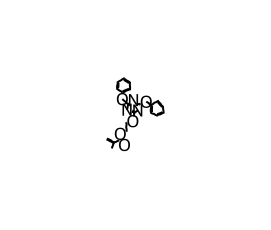 C=C(C)C(=O)OCCOc1nc(Oc2ccccc2)nc(Oc2ccccc2)n1